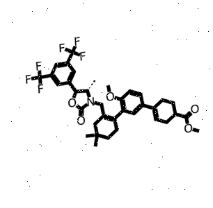 COC(=O)C1CC=C(c2ccc(OC)c(C3=C(CN4C(=O)OC(c5cc(C(F)(F)F)cc(C(F)(F)F)c5)[C@@H]4C)CC(C)(C)CC3)c2)CC1